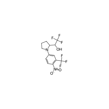 O=[N+]([O-])c1ccc(N2CCCC2C(O)C(F)(F)F)cc1C(F)(F)F